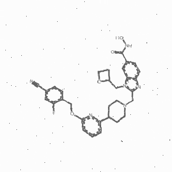 N#Cc1ccc(COc2cccc(C3CCN(Cc4nc5ccc(C(=O)NO)cc5n4CC4CCO4)CC3)n2)c(F)c1